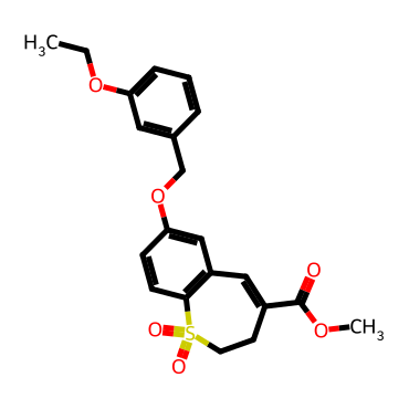 CCOc1cccc(COc2ccc3c(c2)C=C(C(=O)OC)CCS3(=O)=O)c1